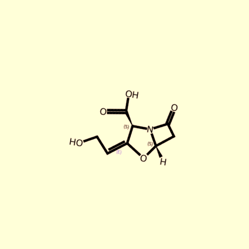 O=C(O)[C@@H]1/C(=C\CO)O[C@H]2CC(=O)N21